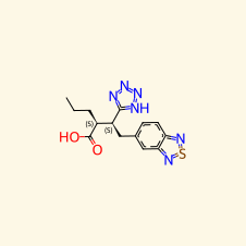 CCC[C@H](C(=O)O)[C@H](Cc1ccc2nsnc2c1)c1nnn[nH]1